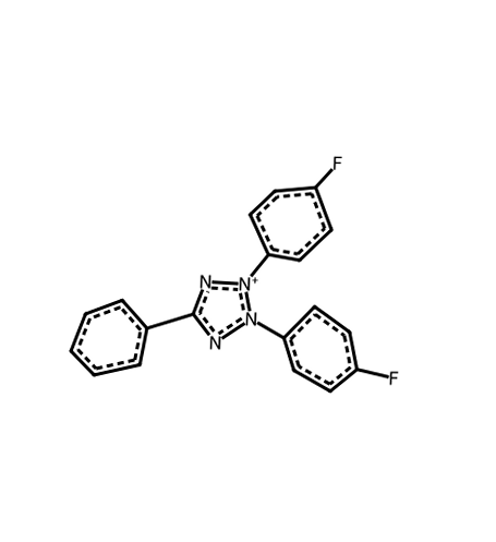 Fc1ccc(-n2nc(-c3ccccc3)n[n+]2-c2ccc(F)cc2)cc1